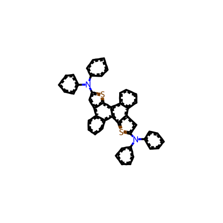 c1ccc(N(c2ccccc2)c2cc3c4ccccc4c4c5sc(N(c6ccccc6)c6ccccc6)cc5c5ccccc5c4c3s2)cc1